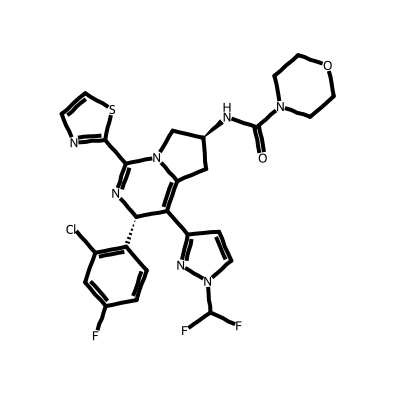 O=C(N[C@H]1CC2=C(c3ccn(C(F)F)n3)[C@H](c3ccc(F)cc3Cl)N=C(c3nccs3)N2C1)N1CCOCC1